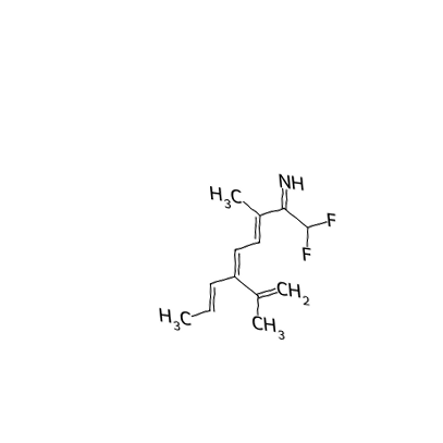 C=C(C)C(=C\C=C(/C)C(=N)C(F)F)/C=C/C